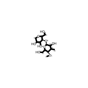 CO[C@H]1C(CO)O[C@@H](O[C@@H]2C(CO)OCC(O)C2O)C(O)C1C